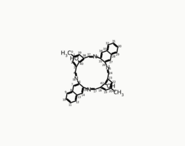 Cc1cc2cnc3cc4ccccc4cc3ncc3cc(C)cc(cnc4cc5ccccc5cc4ncc(c1)c2O)c3O